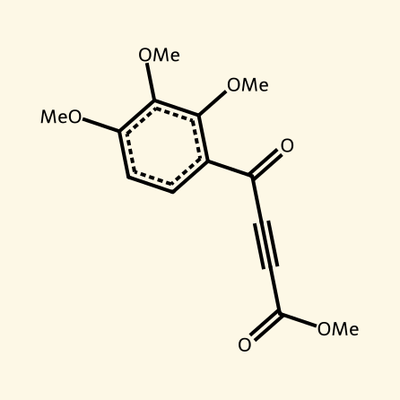 COC(=O)C#CC(=O)c1ccc(OC)c(OC)c1OC